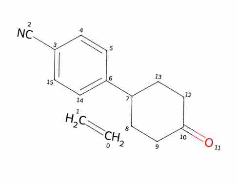 C=C.N#Cc1ccc(C2CCC(=O)CC2)cc1